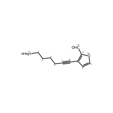 CCCCCCCCCCCC#Cc1ccoc1C=O